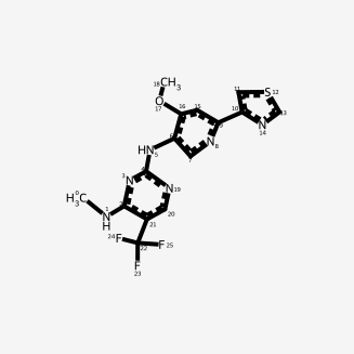 CNc1nc(Nc2cnc(-c3cscn3)cc2OC)ncc1C(F)(F)F